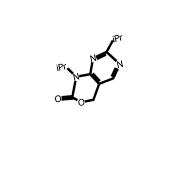 CC(C)c1ncc2c(n1)N(C(C)C)C(=O)OC2